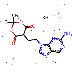 CC1(C)OC(=O)C(CCn2cnc3cnc(N)nc32)C(=O)O1.[KH]